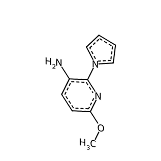 COc1ccc(N)c(-n2cccc2)n1